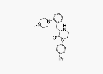 CC(C)c1ccc(N2CCNC(Cc3ccccc3N3CCN(C)CC3)C2=O)cc1